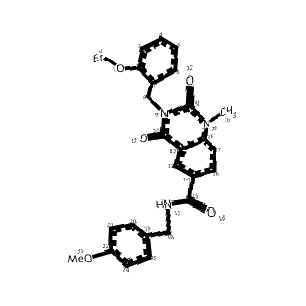 CCOc1ccccc1Cn1c(=O)c2cc(C(=O)NCc3ccc(OC)cc3)ccc2n(C)c1=O